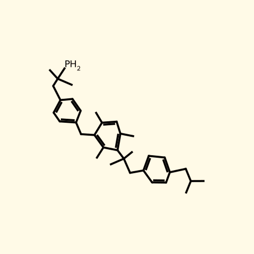 Cc1cc(C)c(C(C)(C)Cc2ccc(CC(C)C)cc2)c(C)c1Cc1ccc(CC(C)(C)P)cc1